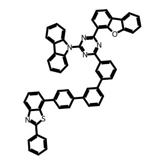 c1ccc(-c2nc3cccc(-c4ccc(-c5cccc(-c6cccc(-c7nc(-c8cccc9c8oc8ccccc89)nc(-n8c9ccccc9c9ccccc98)n7)c6)c5)cc4)c3s2)cc1